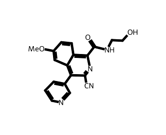 COc1ccc2c(C(=O)NCCO)nc(C#N)c(-c3cccnc3)c2c1